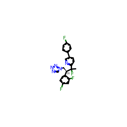 CC(F)(c1ccc(-c2ccc(F)cc2)cn1)[C@H](Cn1cnnn1)c1ccc(F)cc1F